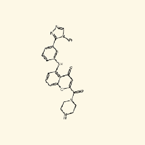 CC(C)n1cnnc1-c1cccc(Nc2cccc3oc(C(=O)N4CCNCC4)cc(=O)c23)n1